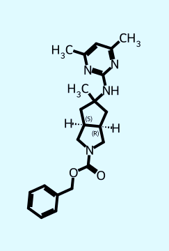 Cc1cc(C)nc(NC2(C)C[C@H]3CN(C(=O)OCc4ccccc4)C[C@H]3C2)n1